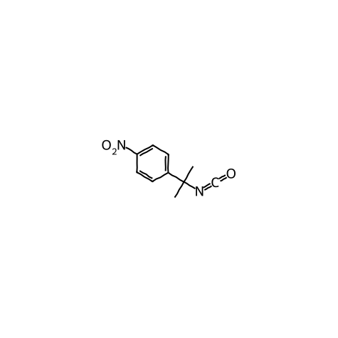 CC(C)(N=C=O)c1ccc([N+](=O)[O-])cc1